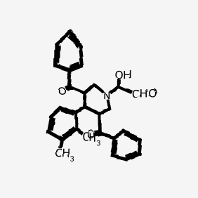 Cc1cccc(C2C(C(=O)c3ccccc3)CN(C(O)C=O)CC2C(=O)c2ccccc2)c1C